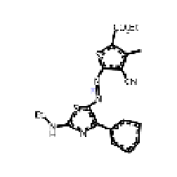 CCNc1nc(-c2ccccc2)c(/N=N/c2sc(C(=O)OCC)c(C)c2C#N)s1